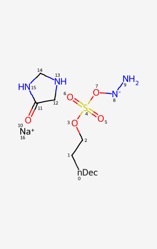 CCCCCCCCCCCCOS(=O)(=O)O[N-]N.O=C1CNCN1.[Na+]